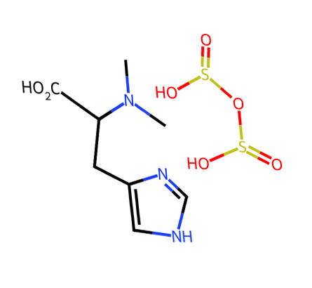 CN(C)C(Cc1c[nH]cn1)C(=O)O.O=S(O)OS(=O)O